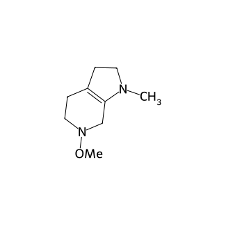 CON1CCC2=C(C1)N(C)CC2